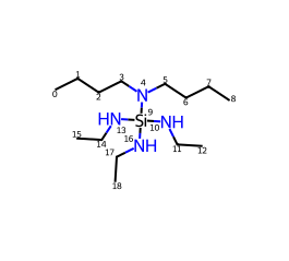 CCCCN(CCCC)[Si](NCC)(NCC)NCC